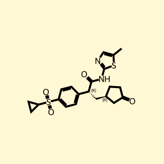 Cc1cnc(NC(=O)[C@H](C[C@H]2CCC(=O)C2)c2ccc(S(=O)(=O)C3CC3)cc2)s1